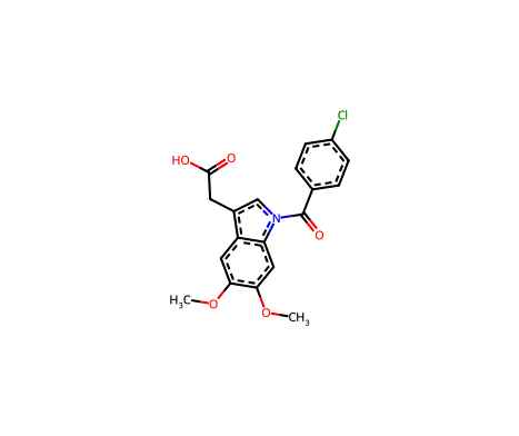 COc1cc2c(CC(=O)O)cn(C(=O)c3ccc(Cl)cc3)c2cc1OC